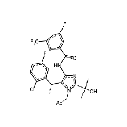 CC(=O)Cn1c(C(C)(C)O)nc(NC(=O)c2cc(F)cc(C(F)(F)F)c2)c1[C@H](C)c1cc(F)ccc1Cl